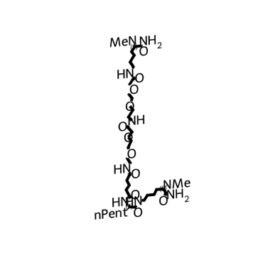 CCCCC[C@H](NC(=O)CCCC(=O)NCCOCCOCC(=O)NCCOCCOCC(=O)NCCCC[C@H](NC)C(N)=O)C(=O)NCCCC[C@H](NC)C(N)=O